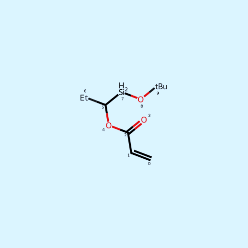 C=CC(=O)OC(CC)[SiH2]OC(C)(C)C